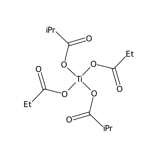 CCC(=O)[O][Ti]([O]C(=O)CC)([O]C(=O)C(C)C)[O]C(=O)C(C)C